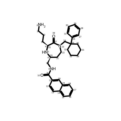 NCCC[C@@H]1N[C@H](CNC(=O)c2ccc3ccccc3c2)CCN(CC2(c3ccccc3)CCCCC2)C1=O